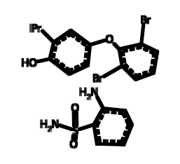 CC(C)c1cc(Oc2c(Br)cccc2Br)ccc1O.Nc1ccccc1S(N)(=O)=O